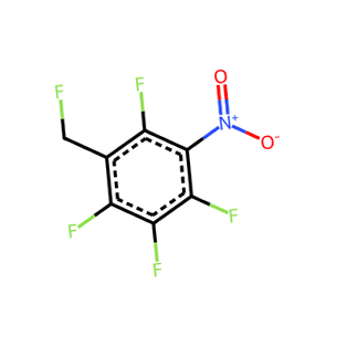 O=[N+]([O-])c1c(F)c(F)c(F)c(CF)c1F